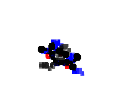 C[N+](CCCN1CC(Nc2cccc(C(F)(F)F)c2)=C([C@H](NCc2ccccc2)c2ccc(N)cc2)C1=O)(CCCN1CC(Nc2cccc(C(F)(F)F)c2)=C([C@H](NCc2ccccc2)c2ccc(N)cc2)C1=O)CC(=O)O